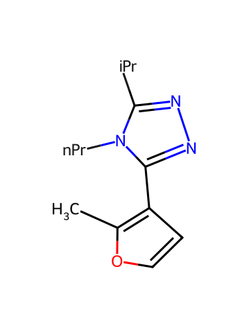 CCCn1c(-c2ccoc2C)nnc1C(C)C